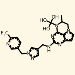 CC1Cn2ccc3nc(NCc4cnn(Cc5ccc(C(F)(F)F)nc5)c4)nc(c32)N1C(O)(O)O